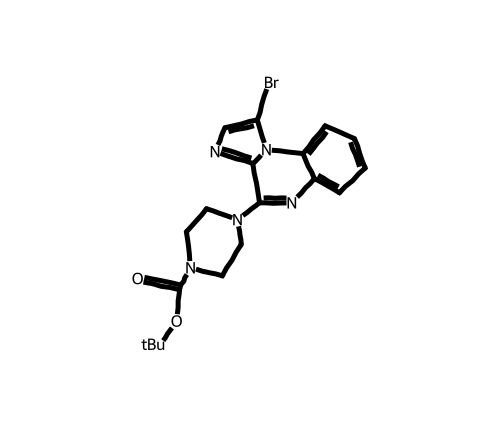 CC(C)(C)OC(=O)N1CCN(c2nc3ccccc3n3c(Br)cnc23)CC1